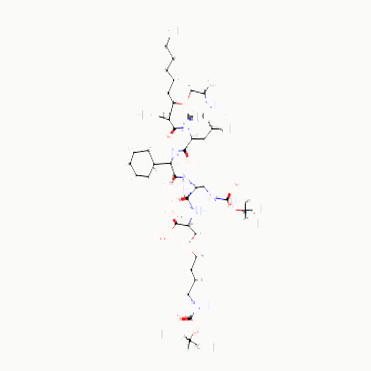 CCCCCCC(OCC(C)N)C(C)C(=O)N(C)C(CC(C)C)C(=O)NC(C(=O)NC(CNC(=O)OC(C)(C)C)C(=O)NC(COCCCCNC(=O)OC(C)(C)C)C(=O)O)C1CCCCC1